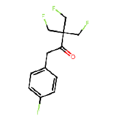 O=C(Cc1ccc(F)cc1)C(CF)(CF)CF